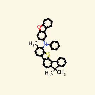 Cc1ccc2c(sc3c4c(ccc32)C(C)(C)c2ccccc2-4)c1N(c1ccccc1)c1ccc2oc3ccccc3c2c1